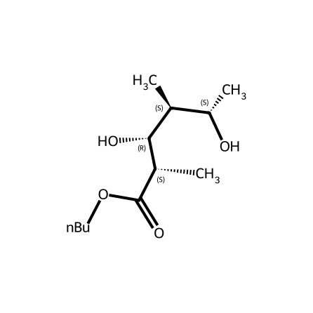 CCCCOC(=O)[C@@H](C)[C@H](O)[C@@H](C)[C@H](C)O